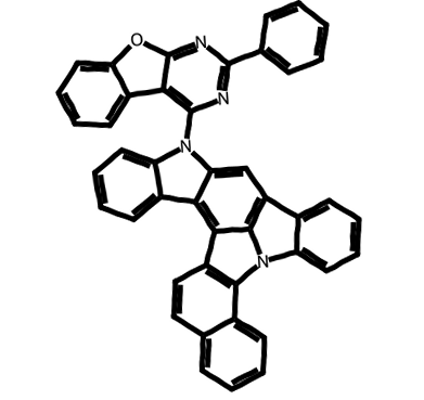 c1ccc(-c2nc(-n3c4ccccc4c4c5c6ccc7ccccc7c6n6c7ccccc7c(cc43)c56)c3c(n2)oc2ccccc23)cc1